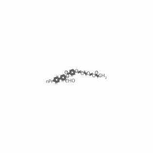 C=CC(=O)OCCOCCOCCOc1ccc(C(=O)Oc2ccc(-c3ccc(CCC)cc3)cc2C=O)cc1